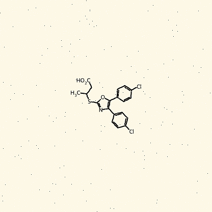 CC(CC(=O)O)Sc1nc(-c2ccc(Cl)cc2)c(-c2ccc(Cl)cc2)o1